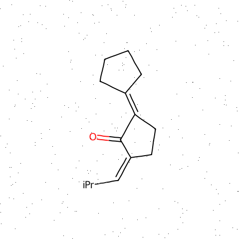 CC(C)C=C1CCC(=C2CCCC2)C1=O